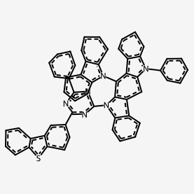 c1ccc(-c2nc(-c3ccc4sc5ccccc5c4c3)nc(-n3c4ccccc4c4cc5c(c(-n6c7ccccc7c7ccccc76)c43)c3ccccc3n5-c3ccccc3)n2)cc1